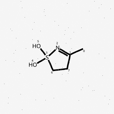 CC1=NS(O)(O)CC1